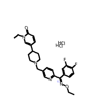 CCO/N=C(\c1ccc(F)c(F)c1)c1ccc(CN2CCC(c3ccc(=O)n(CC)c3)CC2)cn1.Cl.Cl